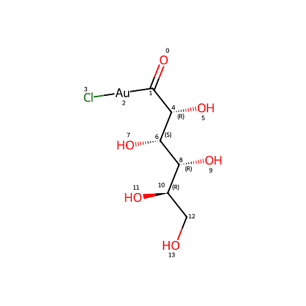 O=[C]([Au][Cl])[C@H](O)[C@@H](O)[C@H](O)[C@H](O)CO